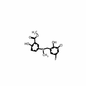 COC(=O)c1cc(N(C)Cc2cc(F)cc(Cl)c2O)ccc1O